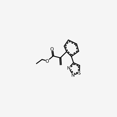 C=C(C(=O)OCC)c1ccccc1-c1csnn1